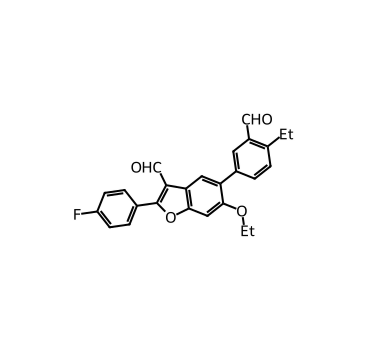 CCOc1cc2oc(-c3ccc(F)cc3)c(C=O)c2cc1-c1ccc(CC)c(C=O)c1